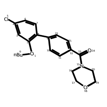 CCCCOc1cc(Cl)ccc1-c1ccc(C(=O)N2CCOCC2)cc1